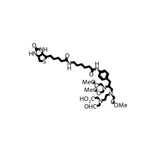 COOCN(CCN(CC=O)CC(=O)O)CC(Cc1ccc(NC(=O)CCCCCNC(=O)CCCCC2SCC3NC(=O)NC32)cc1)N(COOC)COOC